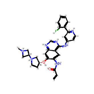 C=CC(=O)Nc1cc2c(Nc3ccnc(-c4ccccc4F)c3)ncnc2cc1O[C@@H]1CCN(C2CN(C)C2)C1